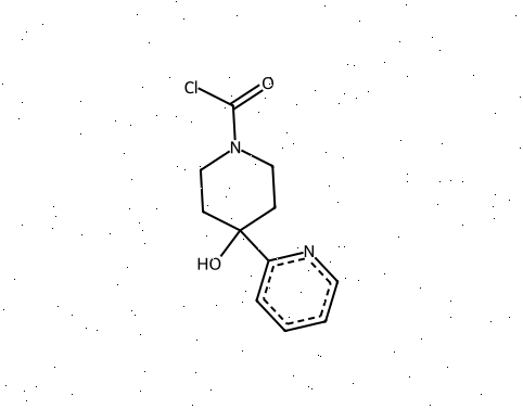 O=C(Cl)N1CCC(O)(c2ccccn2)CC1